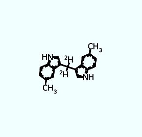 [2H]C([2H])(c1c[nH]c2ccc(C)cc12)c1c[nH]c2ccc(C)cc12